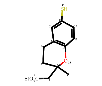 CCOC(=O)CC1(C)CCc2cc(S)ccc2O1